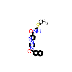 CCSCCNC(=O)c1ccc(N2CCN(C(=O)c3ccc4ccccc4c3)CC2)nc1